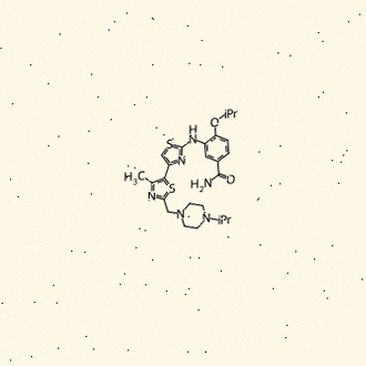 Cc1nc(CN2CCN(C(C)C)CC2)sc1-c1csc(Nc2cc(C(N)=O)ccc2OC(C)C)n1